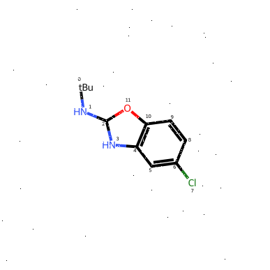 CC(C)(C)NC1Nc2cc(Cl)ccc2O1